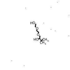 CN(C)C(O)COCCOCCO